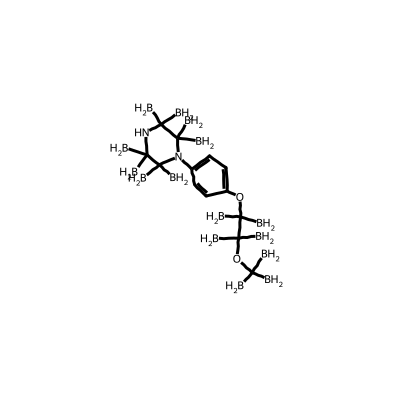 BC(B)(B)OC(B)(B)C(B)(B)Oc1ccc(N2C(B)(B)C(B)(B)NC(B)(B)C2(B)B)cc1